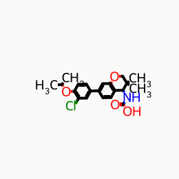 CC(C)Oc1ccc(-c2ccc3c(c2)OCC(C)(C)C3NC(=O)O)cc1Cl